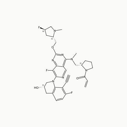 C#Cc1c(F)ccc2c1N(c1ncc3c(N(C)C[C@@H]4CCCN4C(=O)C=C)nc(OC[C@@H]4C[C@@H](F)CN4C)nc3c1F)C[C@@H](O)C2